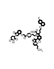 CCCc1ccn2ncc(-c3c(Cl)ccc4c(CCCOc5cccc6cc(F)ccc56)c(C(=O)O)n(CCN5CCN(C(=O)COc6cccc7c6CN(C6CCC(=O)NC6=O)C7=O)CC5)c34)c2n1